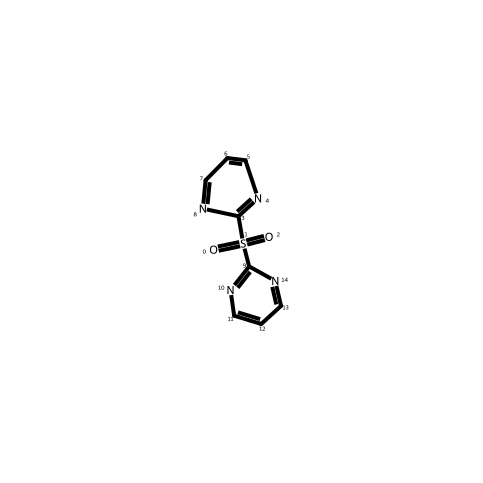 O=S(=O)(c1ncccn1)c1ncccn1